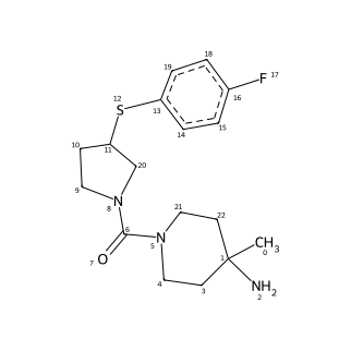 CC1(N)CCN(C(=O)N2CCC(Sc3ccc(F)cc3)C2)CC1